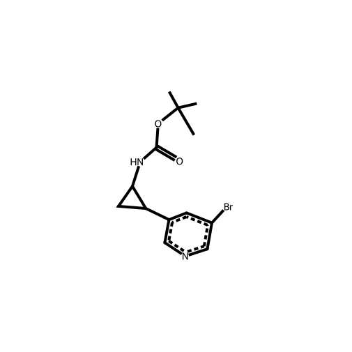 CC(C)(C)OC(=O)NC1CC1c1cncc(Br)c1